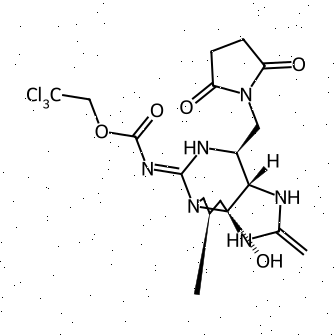 C=C1N[C@H]2[C@H](CN3C(=O)CCC3=O)N/C(=N\C(=O)OCC(Cl)(Cl)Cl)N3C[C@H](C)[C@H](O)[C@]23N1